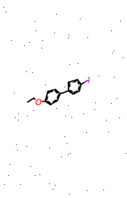 CCOc1ccc(-c2ccc(I)cc2)cc1